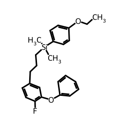 CCOc1ccc([Si](C)(C)CCCc2ccc(F)c(Oc3ccccc3)c2)cc1